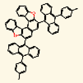 Cc1ccc(-c2c3ccccc3c(-c3cc4cc(-c5c6ccccc6c(-c6ccc(C)cc6)c6ccccc56)c5oc6ccccc6c5c4c4c3oc3ccccc34)c3ccccc23)cc1